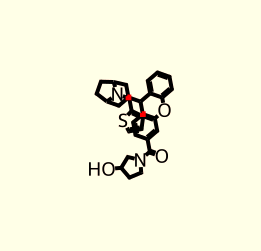 O=C(c1ccc2c(c1)Oc1ccccc1C2C1CC2CCC(C1)N2Cc1cccs1)N1CCC(O)C1